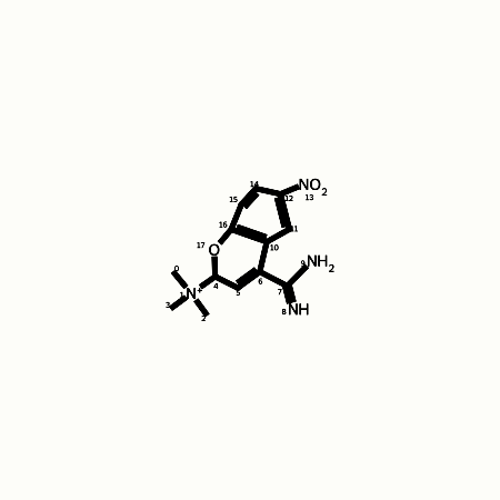 C[N+](C)(C)C1C=C(C(=N)N)c2cc([N+](=O)[O-])ccc2O1